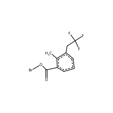 Cc1c(CC(F)(F)F)cccc1C(=O)OBr